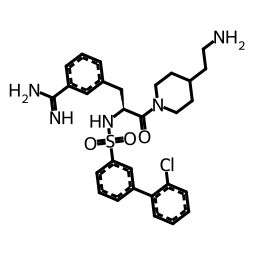 N=C(N)c1cccc(C[C@H](NS(=O)(=O)c2cccc(-c3ccccc3Cl)c2)C(=O)N2CCC(CCN)CC2)c1